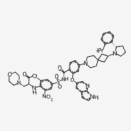 CC(C)c1ccccc1[C@@H]1CCCN1C1CC2(CCN(c3ccc(C(=O)NS(=O)(=O)c4cc5c(c([N+](=O)[O-])c4)NC(CN4CCOCC4)C(=O)O5)c(Oc4cnc5[nH]ccc5c4)c3)CC2)C1